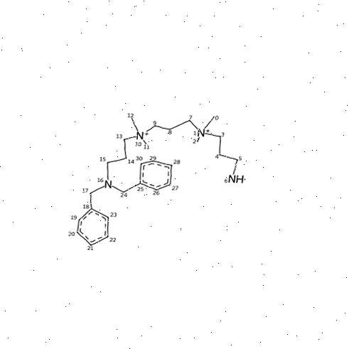 C[N+](C)(CCC[NH])CCC[N+](C)(C)CCCN(Cc1ccccc1)Cc1ccccc1